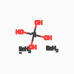 [BaH2].[OH][Ti]([OH])([OH])[OH].[SnH2]